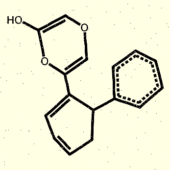 OC1=COC=C(C2=CC=CCC2c2ccccc2)O1